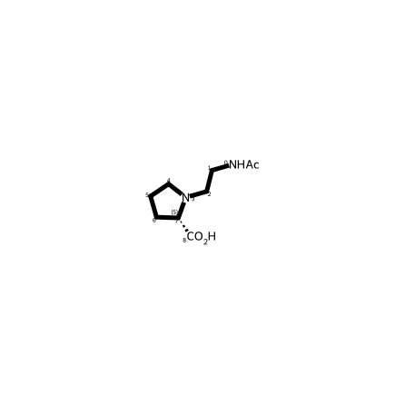 CC(=O)NCCN1CCC[C@H]1C(=O)O